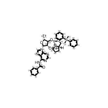 CC[C@H]1O[C@@H](n2cnc3c(NC(=O)c4ccccc4)ncnc32)[C@@H](OC)C1O[P@@]1O[C@H](C[Si](C)(c2ccccc2)c2ccccc2)[C@@H]2CCCN21